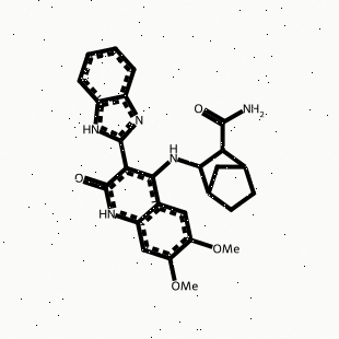 COc1cc2[nH]c(=O)c(-c3nc4ccccc4[nH]3)c(NC3C4CCC(C4)C3C(N)=O)c2cc1OC